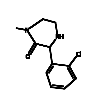 CN1CCNC(c2ccccc2Cl)C1=O